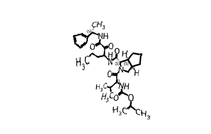 CCCC(NC(=O)[C@@H]1[C@H]2CCC[C@H]2CN1C(=O)[C@@H](NC(=O)OC(C)C)C(C)C)C(=O)C(=O)N[C@@H](C)c1ccccc1